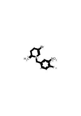 C=C1CCC(Br)=CN1Cc1ccc(F)c([N+](=O)[O-])c1